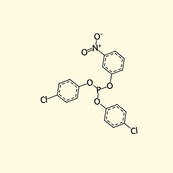 O=[N+]([O-])c1cccc(OP(Oc2ccc(Cl)cc2)Oc2ccc(Cl)cc2)c1